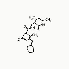 Cc1c(SC2CCCCC2)cc(Cl)cc1C(=O)NCC1C(=O)NC(C)CC1C